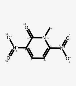 Cn1c([N+](=O)[O-])ccc([N+](=O)[O-])c1=O